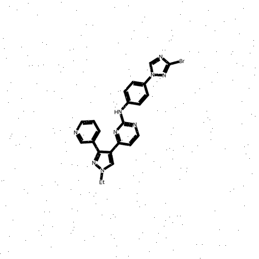 CCn1cc(-c2ccnc(Nc3ccc(-n4cnc(Br)n4)cc3)n2)c(-c2cccnc2)n1